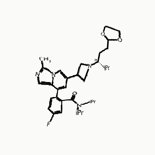 Cc1ncc2c(-c3ccc(F)cc3C(=O)N(C(C)C)C(C)C)cc(C3CN([C@H](CCC4OCCO4)C(C)C)C3)cn12